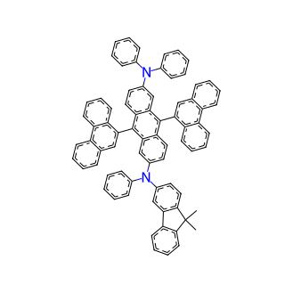 CC1(C)c2ccccc2-c2cc(N(c3ccccc3)c3ccc4c(-c5cc6ccccc6c6ccccc56)c5cc(N(c6ccccc6)c6ccccc6)ccc5c(-c5cc6ccccc6c6ccccc56)c4c3)ccc21